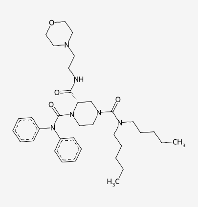 CCCCCN(CCCCC)C(=O)N1CCN(C(=O)N(c2ccccc2)c2ccccc2)[C@H](C(=O)NCCN2CCOCC2)C1